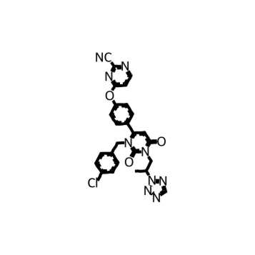 CC(Cn1c(=O)cc(-c2ccc(Oc3ccnc(C#N)n3)cc2)n(Cc2ccc(Cl)cc2)c1=O)n1ncnn1